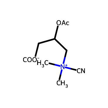 CC(=O)OC(CC(=O)[O-])C[N+](C)(C)C#N